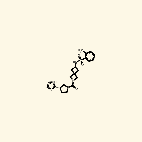 O=C(N1CC[C@H](c2ncn[nH]2)C1)N1CC2(CC(NS(=O)(=O)c3ccccc3C(F)(F)F)C2)C1